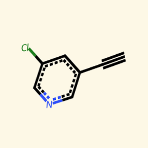 C#Cc1cncc(Cl)c1